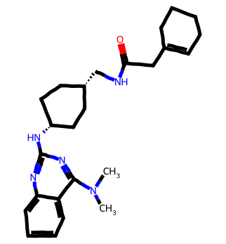 CN(C)c1nc(N[C@H]2CC[C@@H](CNC(=O)CC3=CCCCC3)CC2)nc2ccccc12